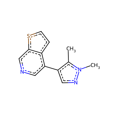 Cc1c(-c2cncc3sccc23)cnn1C